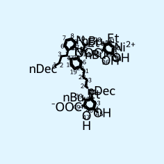 CCCCCCCCCCCCCCc1cccc(N=C(CC)C(CCCC)=Nc2cccc(CCCCCCCCCCCCCC)c2)c1.CCCCc1c(CC)cc(O)c(O)c1C(=O)[O-].CCCCc1c(CC)cc(O)c(O)c1C(=O)[O-].[Ni+2]